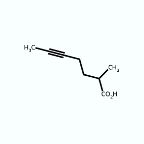 CC#CCCC(C)C(=O)O